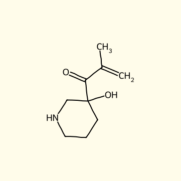 C=C(C)C(=O)C1(O)CCCNC1